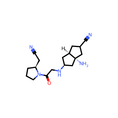 N#CC[C@@H]1CCCN1C(=O)CN[C@H]1C[C@H]2CC(C#N)C[C@@]2(N)C1